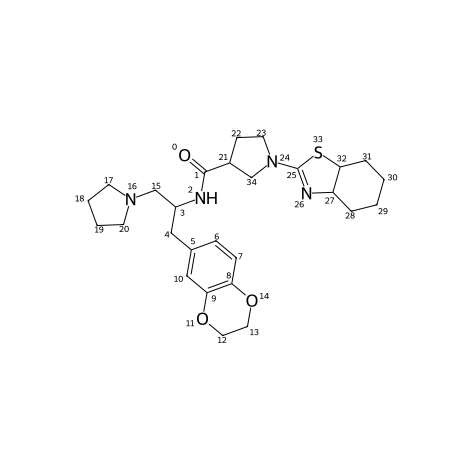 O=C(NC(Cc1ccc2c(c1)OCCO2)CN1CCCC1)C1CCN(C2=NC3CCCCC3S2)C1